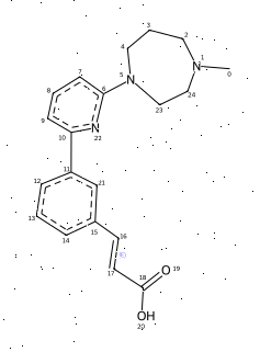 CN1CCCN(c2cccc(-c3cccc(/C=C/C(=O)O)c3)n2)CC1